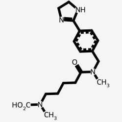 CN(CCCCC(=O)N(C)Cc1ccc(C2=NCCN2)cc1)C(=O)O